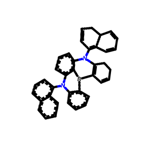 C1=CC2=C(N3C4=C(C=CCC4)B4c5ccccc5N(c5cccc6ccccc56)c5cccc3c54)C=CCC2C=C1